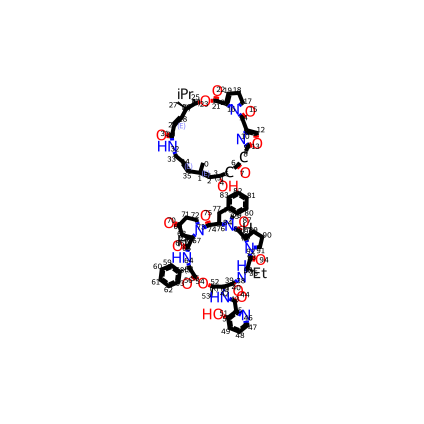 CC1=C\[C@@H](O)CC(=O)Cc2nc(co2)C(=O)N2CCC=C2C(=O)O[C@H](C(C)C)[C@H](C)/C=C/C(=O)NC\C=C\1.CC[C@H]1NC(=O)[C@@H](NC(=O)c2ncccc2O)[C@@H](C)OC(=O)[C@H](c2ccccc2)NC(=O)[C@@H]2CC(=O)CCN2C(=O)C(Cc2ccccc2)N(C)C(=O)[C@@H]2CCCN2C1=O